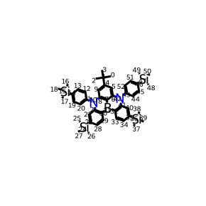 CC(C)(C)c1cc2c3c(c1)N(c1ccc([Si](C)(C)C)cc1)c1cc([Si](C)(C)C)ccc1B3c1ccc([Si](C)(C)C)cc1N2c1ccc([Si](C)(C)C)cc1